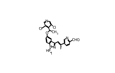 CC(Oc1ccc2c(c1)c(/C=C(\F)c1ccc(C=O)nc1)nn2PI)c1c(Cl)cncc1Cl